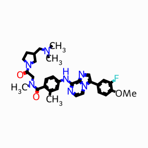 COc1ccc(-c2cnc3c(Nc4ccc(C(=O)N(C)CC(=O)N5CCC(CN(C)C)C5)c(C)c4)nccn23)cc1F